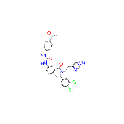 CC(=O)c1ccc(NC(=O)Nc2ccc3c(c2)C(=O)N(CCc2c[nH]cn2)C(c2ccc(Cl)c(Cl)c2)C3)cc1